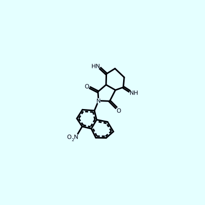 N=C1CCC(=N)C2C(=O)N(c3ccc([N+](=O)[O-])c4ccccc34)C(=O)C12